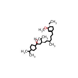 CC[C@@H]1CCC(CCC[C@@H](C)CC[C@@H](CC(=O)C2CCC(C(C)C)CC2)C(C)C)=CC1OC